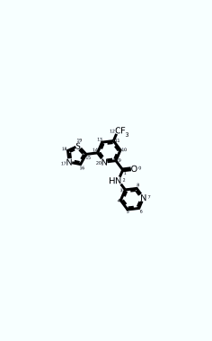 O=C(Nc1cccnc1)c1cc(C(F)(F)F)cc(-c2cncs2)n1